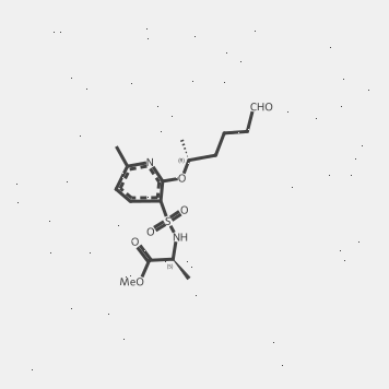 COC(=O)[C@H](C)NS(=O)(=O)c1ccc(C)nc1O[C@H](C)CCCC=O